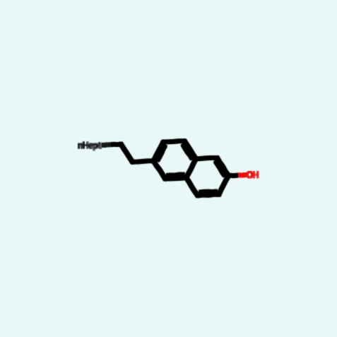 CCCCCCCCCc1ccc2cc(O)ccc2c1